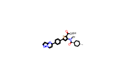 COC(=O)c1sc(-c2ccc(-c3ccn4nccc4n3)cc2)cc1N(C(=O)[C@H]1CC[C@H](C)CC1)C(C)C